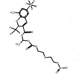 Cc1cc(S(F)(F)(F)(F)F)cc2c1OC(C(F)(F)F)C(C(=O)OC(C)OC(=O)OCCSCCO[N+](=O)[O-])=C2